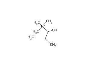 CCC(O)[N+](C)(C)C.O